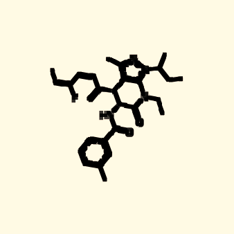 C=C(/C=C\C(F)=C/C)[C@H]1c2c(C)nn(C(C)CC)c2N(CC)C(=O)[C@H]1NC(=O)c1cccc(C)c1